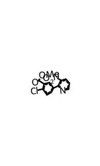 COC(=O)c1cc(-c2ncccc2[N+](=O)[O-])ccc1Cl